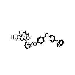 CC(C)(C)OC(=O)N1CCC[C@@H]1COc1ccc(Oc2ccc(-n3cccn3)cc2)cc1